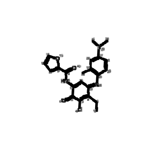 CCC1=C(Cl)C(=O)C(NC(=O)c2ccco2)=C/C1=N\c1ccc(N(C)C)cc1C